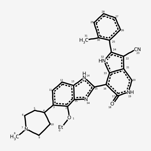 CCOc1c(C2CCN(C)CC2)ccc2[nH]c(-c3c(=O)[nH]cc4c(C#N)c(-c5ccccc5C)[nH]c34)nc12